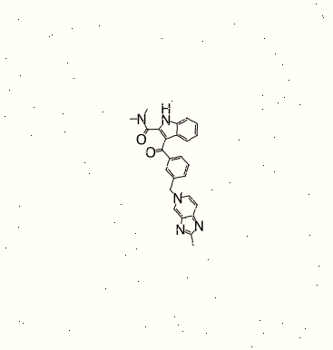 Cc1nc2ccn(Cc3cccc(C(=O)c4c(C(=O)N(C)C)[nH]c5ccccc45)c3)cc-2n1